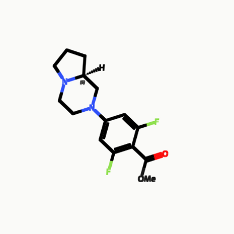 COC(=O)c1c(F)cc(N2CCN3CCC[C@H]3C2)cc1F